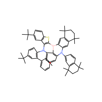 Cc1cc2c3c(c1)N(c1ccc(C(C)(C)C)cc1-c1ccccc1)c1c(sc4ccc(C(C)(C)C)cc14)B3c1cc3c(cc1N2c1ccc2c(c1)C(C)(C)CCC2(C)C)C(C)(C)CCC3(C)C